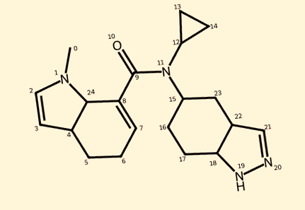 CN1C=CC2CCC=C(C(=O)N(C3CC3)C3CCC4NN=CC4C3)C21